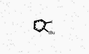 CC(C)(C)c1ccccc1I